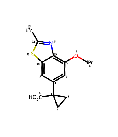 CC(C)Oc1cc(C2(C(=O)O)CC2)cc2sc(C(C)C)nc12